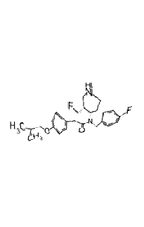 CC(C)COc1ccc(CC(=O)N(Cc2ccc(F)cc2)[C@H]2CCNC[C@H]2CF)cc1